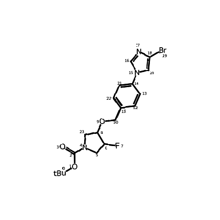 CC(C)(C)OC(=O)N1CC(F)C(OCc2ccc(-n3cnc(Br)c3)cc2)C1